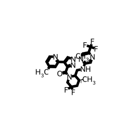 Cc1ccnc(-c2cn(C)nc2C(=O)N2CC(F)(F)C[C@@H](C)C2CNc2cnc(C(F)(F)F)cn2)c1